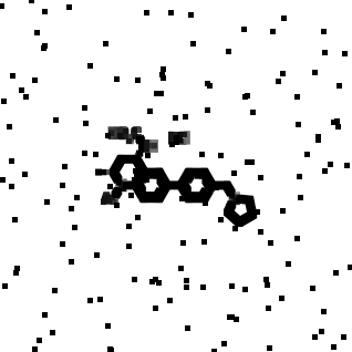 CC(=O)N1c2ccc(-c3ccc(CN4CCCC4)cc3)cc2[C@@H](NC(=O)O)C[C@H]1C.Cl